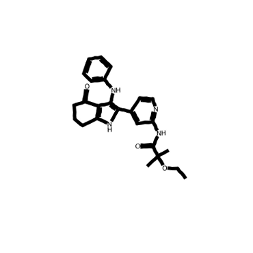 CCOC(C)(C)C(=O)Nc1cc(-c2[nH]c3c(c2Nc2ccccc2)C(=O)CCC3)ccn1